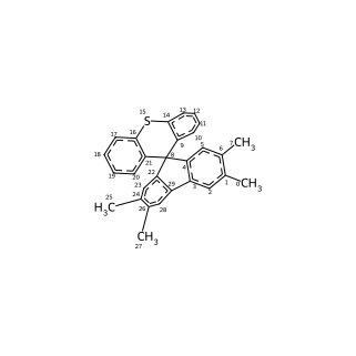 Cc1cc2c(cc1C)C1(c3ccccc3Sc3ccccc31)c1cc(C)c(C)cc1-2